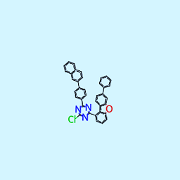 Clc1nc(-c2ccc(-c3ccc4ccccc4c3)cc2)nc(-c2cccc3oc4cc(-c5ccccc5)ccc4c23)n1